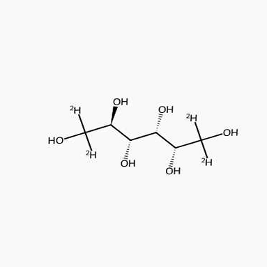 [2H]C([2H])(O)[C@H](O)[C@@H](O)[C@H](O)[C@H](O)C([2H])([2H])O